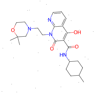 CC1CCC(NC(=O)c2c(O)c3cccnc3n(CCN3CCOC(C)(C)C3)c2=O)CC1